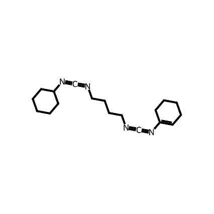 C(=NCCCCN=C=NC1CCCCC1)=NC1=CCCCC1